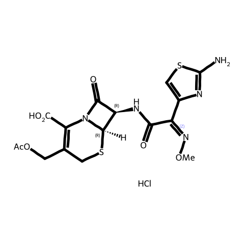 CO/N=C(\C(=O)N[C@@H]1C(=O)N2C(C(=O)O)=C(COC(C)=O)CS[C@H]12)c1csc(N)n1.Cl